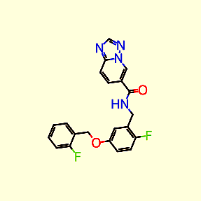 O=C(NCc1cc(OCc2ccccc2F)ccc1F)c1ccc2ncnn2c1